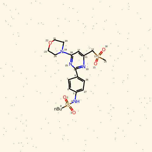 CCCCS(=O)(=O)Nc1ccc(-c2nc(CS(C)(=O)=O)cc(N3CCOCC3)n2)cc1